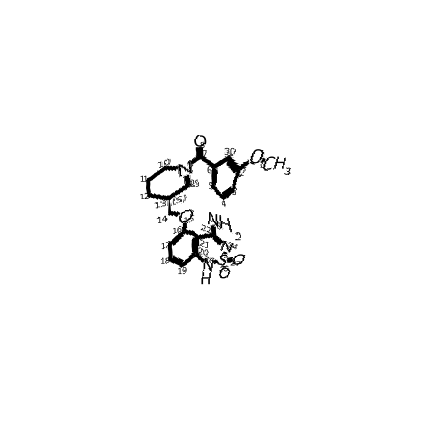 COc1cccc(C(=O)N2CCC[C@H](COc3cccc4c3C(N)=NS(=O)(=O)N4)C2)c1